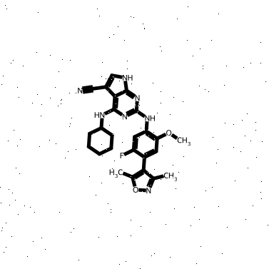 COc1cc(-c2c(C)noc2C)c(F)cc1Nc1nc(NC2CCCCC2)c2c(C#N)c[nH]c2n1